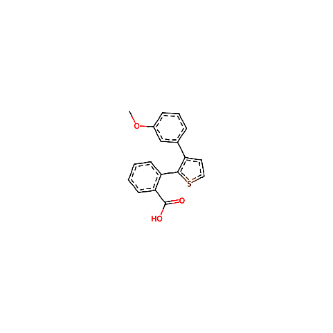 COc1cccc(-c2ccsc2-c2ccccc2C(=O)O)c1